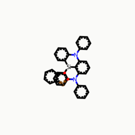 c1ccc(N2c3ccccc3[Si]3(c4ccccc4)c4c2cccc4N(c2ccccc2)c2sc4ccccc4c23)cc1